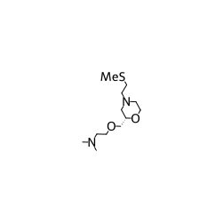 CSCCN1CCO[C@H](COCCN(C)C)C1